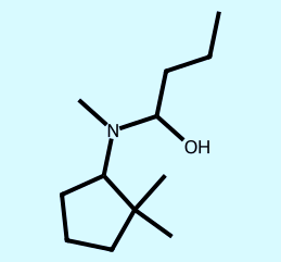 CCCC(O)N(C)C1CCCC1(C)C